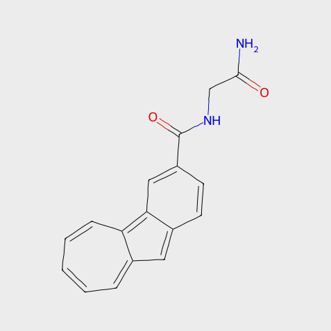 NC(=O)CNC(=O)c1ccc2cc3cccccc-3c2c1